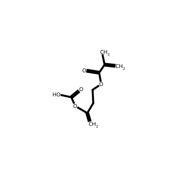 C=C(CCOC(=O)C(=C)C)OC(=O)O